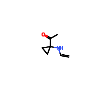 C=CNC1(C(C)=O)CC1